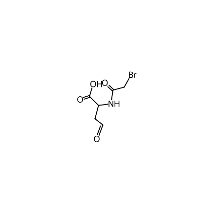 O=CCC(NC(=O)CBr)C(=O)O